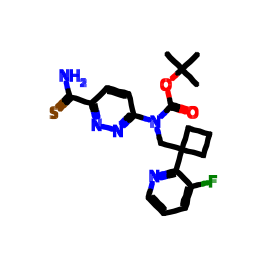 CC(C)(C)OC(=O)N(CC1(c2ncccc2F)CCC1)c1ccc(C(N)=S)nn1